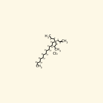 C=CC[N+](CCC)(CCC)CCCCCCCCCCCC.[Cl-]